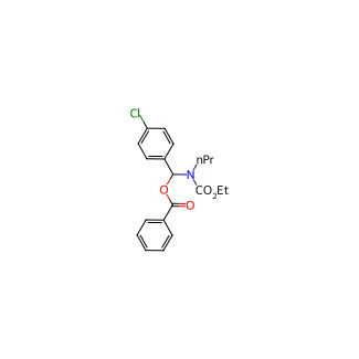 CCCN(C(=O)OCC)C(OC(=O)c1ccccc1)c1ccc(Cl)cc1